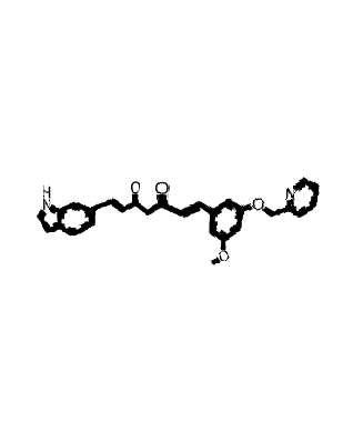 COc1cc(C=CC(=O)CC(=O)C=Cc2ccc3cc[nH]c3c2)cc(OCc2ccccn2)c1